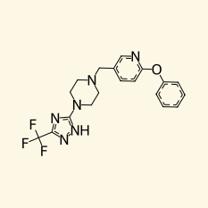 FC(F)(F)c1n[nH]c(N2CCN(Cc3ccc(Oc4ccccc4)nc3)CC2)n1